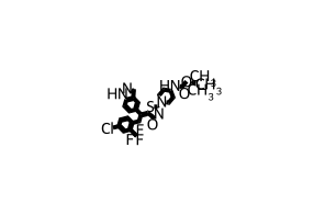 CC(C)(C)OC(=O)NC1CCN(C2=NC(=O)C(=C(Cc3ccc(Cl)cc3C(F)(F)F)c3ccc4[nH]ncc4c3)S2)CC1